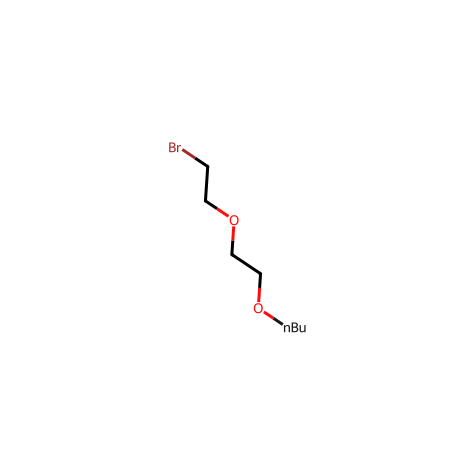 CCCCOCCOCCBr